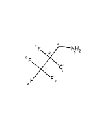 NCC(F)(Cl)C(F)(F)F